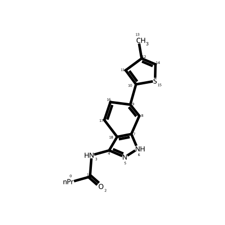 CCCC(=O)Nc1n[nH]c2cc(-c3cc(C)cs3)ccc12